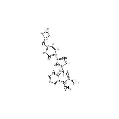 CC(=O)N(C)c1cccnc1Nc1nc(-c2ccc(OC3COC3)cn2)ns1